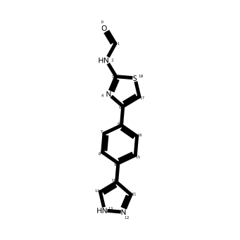 O=CNc1nc(-c2ccc(-c3cn[nH]c3)cc2)cs1